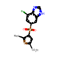 CCOC(=O)c1cc(S(=O)(=O)c2cc(Br)c3nc[nH]c3c2)c(SC)s1